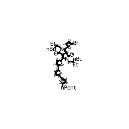 CCCCCc1ccc(-c2ccc(-c3ccc(C4=C5C(=O)N(CC(CC)CCCC)C(c6ccc(Br)s6)=C5C(=O)N4CC(CC)CCCC)s3)s2)s1